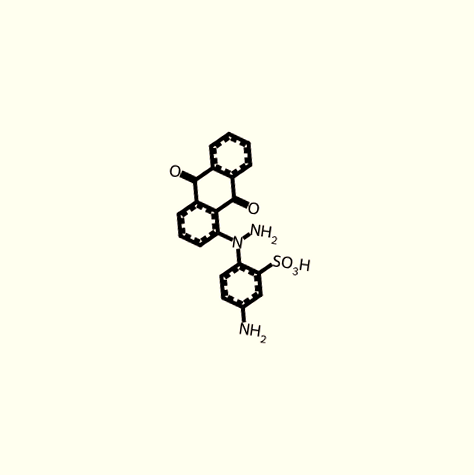 Nc1ccc(N(N)c2cccc3c2C(=O)c2ccccc2C3=O)c(S(=O)(=O)O)c1